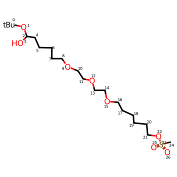 CC(C)(C)OC(O)CCCCCOCCOCCOCCCCCCOS(C)(=O)=O